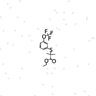 CCOC(=O)C(C)(C)Sc1cccc(OC(F)(F)F)c1